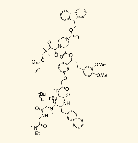 C=CC(=O)OCC(C)(C)C(=O)C(=O)N1CCN(C(=O)OCC2c3ccccc3-c3ccccc32)C[C@H]1C(=O)O[C@H](CCc1ccc(OC)c(OC)c1)c1cccc(OCC(=O)N(C)[C@@H](CCCC)C(=O)N[C@@H](Cc2ccc3ccccc3c2)C(=O)N(C)[C@@H](COC(C)(C)C)C(=O)NCC(=O)N(C)CC)c1